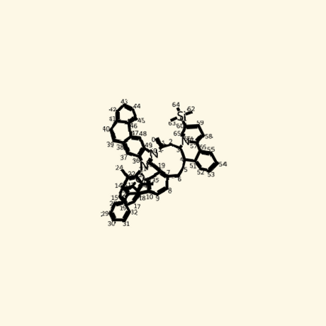 C=C1CC2C(CCc3ccc4c(oc5ccccc54)c3-c3n(-c4c(C)cc(-c5ccccc5)cc4C)c4cc5ccc6ccccc6c5cc4[n+]31)c1ccccc1-c1ccc([Si](C)(C)C)c[n+]12